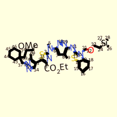 CCOC(=O)c1nc(N(C)c2cc(C)c(/N=c3\sc4ccccc4n3COCC[Si](C)(C)C)nn2)sc1-c1cnn(CC2(CCCOC)CCCCC2)c1C